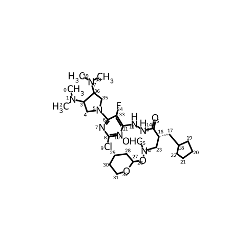 CN(C)C1CN(c2nc(Cl)nc(NNC(=O)[C@H](CC3CCCC3)CN(C=O)OC3CCCCO3)c2F)CC1N(C)C